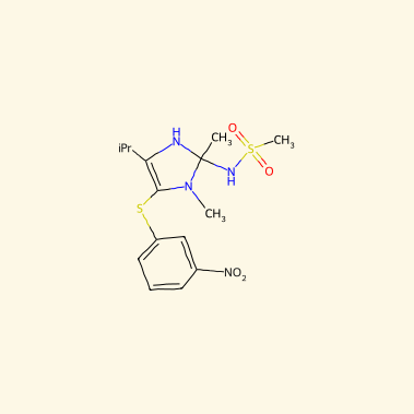 CC(C)C1=C(Sc2cccc([N+](=O)[O-])c2)N(C)C(C)(NS(C)(=O)=O)N1